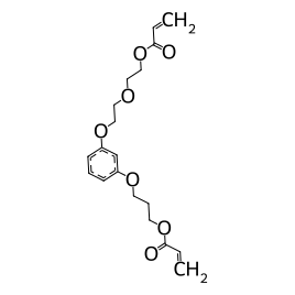 C=CC(=O)OCCCOc1cccc(OCCOCCOC(=O)C=C)c1